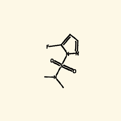 CN(C)S(=O)(=O)n1nccc1F